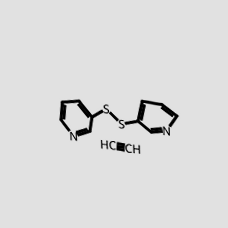 C#C.c1cncc(SSc2cccnc2)c1